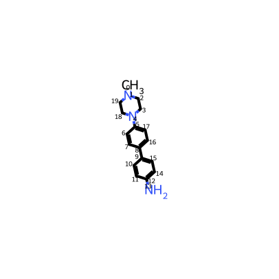 CN1CCN(c2ccc(-c3ccc(N)cc3)cc2)CC1